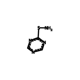 NSc1ncncn1